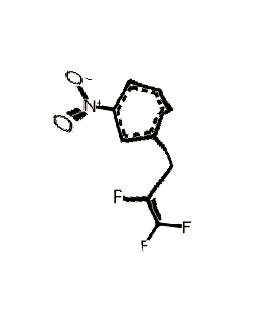 O=[N+]([O-])c1cccc(CC(F)=C(F)F)c1